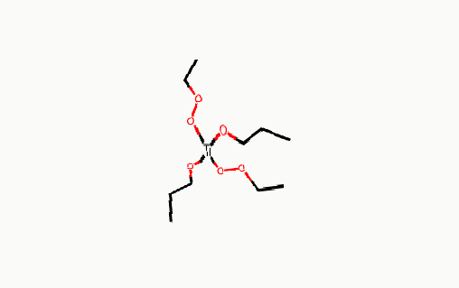 CCC[O][Ti]([O]CCC)([O]OCC)[O]OCC